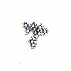 c1ccc(-c2ccccc2-c2c(-c3ccccc3)cccc2N(c2ccc(-c3ccc4c(ccc5ccccc54)c3)cc2)c2cccc(-n3c4ccccc4c4ccccc43)c2)cc1